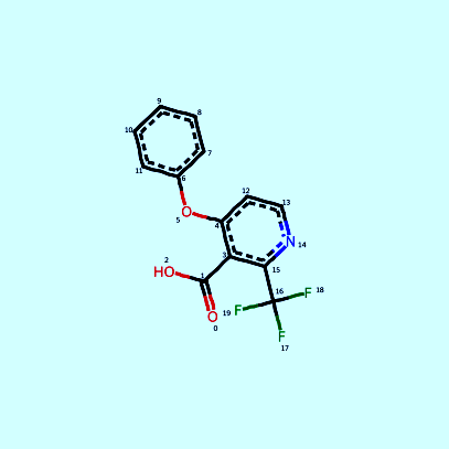 O=C(O)c1c(Oc2ccccc2)ccnc1C(F)(F)F